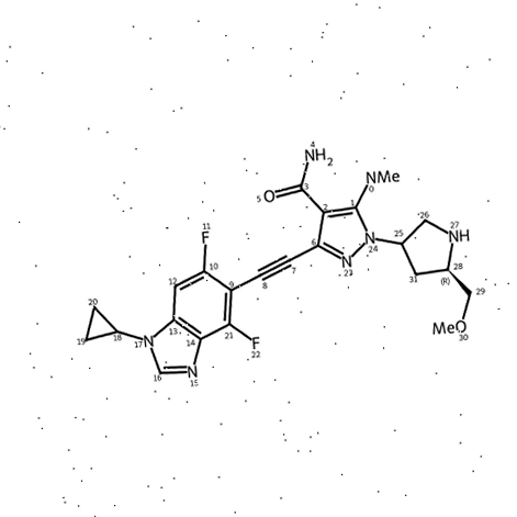 CNc1c(C(N)=O)c(C#Cc2c(F)cc3c(ncn3C3CC3)c2F)nn1C1CN[C@@H](COC)C1